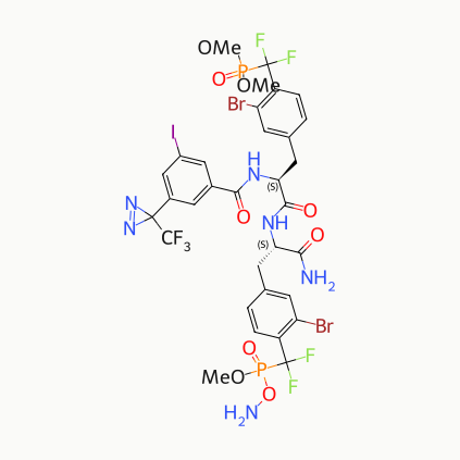 COP(=O)(OC)C(F)(F)c1ccc(C[C@H](NC(=O)c2cc(I)cc(C3(C(F)(F)F)N=N3)c2)C(=O)N[C@@H](Cc2ccc(C(F)(F)P(=O)(OC)ON)c(Br)c2)C(N)=O)cc1Br